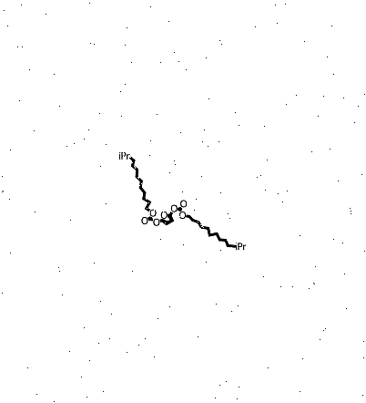 CC(C)CCCCCCCCCCOC(=O)Oc1ccc(OC(=O)OCCCCCCCCCCC(C)C)o1